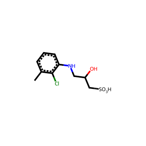 Cc1cccc(NCC(O)CS(=O)(=O)O)c1Cl